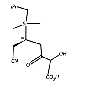 CC(C)C[Si](C)(C)[C@H](CC#N)CC(=O)C(O)C(=O)O